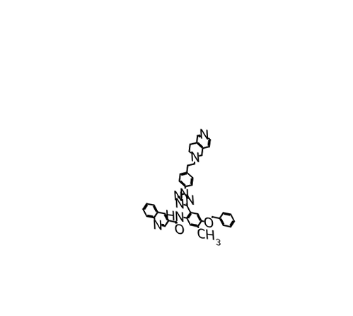 Cc1cc(NC(=O)c2cnc3ccccc3c2)c(-c2nnn(-c3ccc(CCN4CCc5cnccc5C4)cc3)n2)cc1OCc1ccccc1